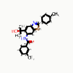 CC(C)(O)c1cc2nc([C@H]3CC[C@H](C)CC3)sc2cc1NC(=O)c1cccc(C(F)(F)F)c1